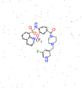 O=C(c1ccc(NS(=O)(=O)c2cccc3cccnc23)c(OC(F)(F)F)c1)N1CCN(CC2=CC(F)=CNC2)CC1